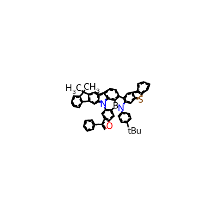 CC(C)(C)c1ccc(N2B3c4cc5occ(-c6ccccc6)c5cc4-n4c5cc6c(cc5c5ccc(c3c54)-c3cc4c(cc32)sc2ccccc24)C(C)(C)c2ccccc2-6)cc1